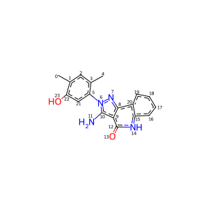 Cc1cc(C)c(-n2nc3c(c2N)c(=O)[nH]c2ccccc23)cc1O